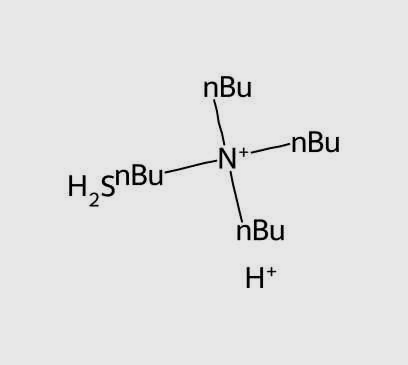 CCCC[N+](CCCC)(CCCC)CCCC.S.[H+]